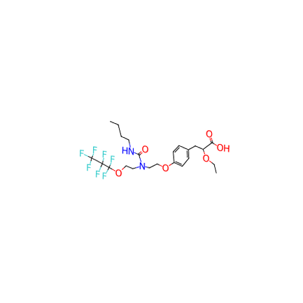 CCCCNC(=O)N(CCOc1ccc(CC(OCC)C(=O)O)cc1)CCOC(F)(F)C(F)(F)C(F)(F)F